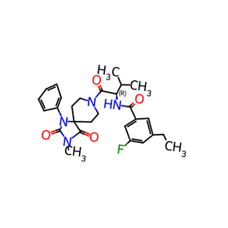 CCc1cc(F)cc(C(=O)N[C@@H](C(=O)N2CCC3(CC2)C(=O)N(C)C(=O)N3c2ccccc2)C(C)C)c1